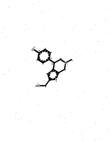 CN1Cc2sc(CO)cc2C(c2ccc(Cl)cc2)C1